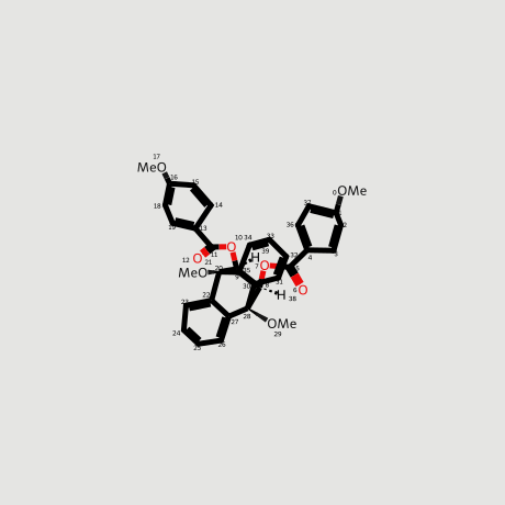 COc1ccc(C(=O)O[C@@H]2[C@H](OC(=O)c3ccc(OC)cc3)[C@@]3(OC)c4ccccc4[C@]2(OC)C2C=CC=CC23)cc1